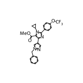 COC(=O)c1c(-c2cnn(Cc3ccccc3)c2)nc(-c2ccc(OC(F)(F)F)cc2)n1C1CC1